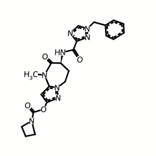 CN1C(=O)[C@@H](NC(=O)c2ncn(Cc3ccccc3)n2)CCn2nc(OC(=O)N3CCC3)cc21